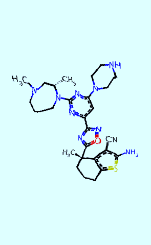 C[C@H]1CN(C)CCCN1c1nc(-c2noc([C@@]3(C)CCCc4sc(N)c(C#N)c43)n2)cc(N2CCNCC2)n1